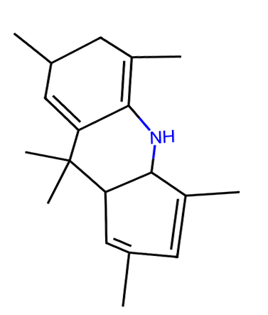 CC1=CC2C(NC3=C(C)CC(C)C=C3C2(C)C)C(C)=C1